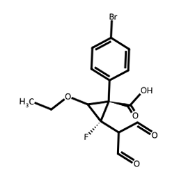 CCOC1[C@](F)(C(C=O)C=O)[C@@]1(C(=O)O)c1ccc(Br)cc1